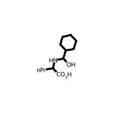 CCCC(NC(O)C1CCCCC1)C(=O)O